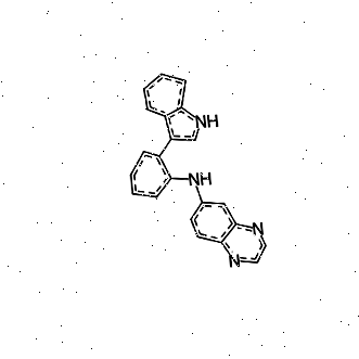 c1ccc(-c2c[nH]c3ccccc23)c(Nc2ccc3nccnc3c2)c1